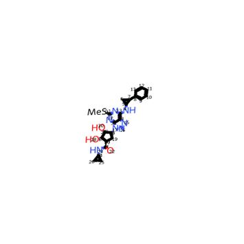 CSc1nc(NC2CC2c2ccccc2)c2nnn([C@H]3C[C@@H](C(=O)NC4CC4)[C@H](O)[C@@H]3O)c2n1